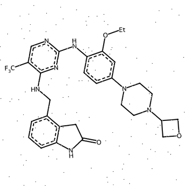 CCOc1cc(N2CCN(C3COC3)CC2)ccc1Nc1ncc(C(F)(F)F)c(NCc2cccc3c2CC(=O)N3)n1